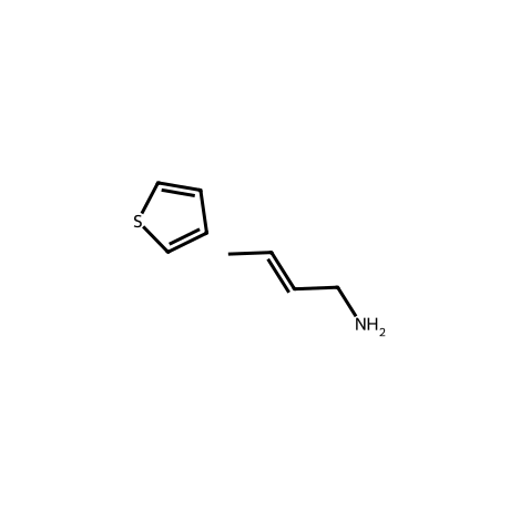 CC=CCN.c1ccsc1